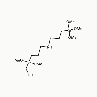 CO[Si](CO)(CCCNCCC[Si](OC)(OC)OC)OC